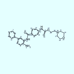 Nc1ccc(-c2ccccc2)cc1NC(=O)c1ccc(NC(=O)OCCN2CCOCC2)cc1